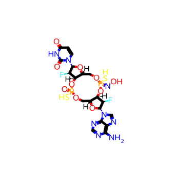 Nc1ncnc2c1ncn2[C@@H]1O[C@@H]2COP(=O)(S)O[C@H]3[C@@H](F)[C@H](n4ccc(=O)[nH]c4=O)O[C@@H]3COP(S)(=NO)O[C@H]2[C@H]1F